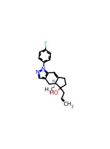 C=CC[C@]1(O)CCC2=Cc3c(cnn3-c3ccc(F)cc3)C[C@@]21C